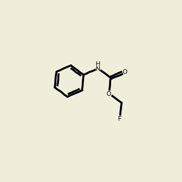 O=C(Nc1[c]cccc1)OCF